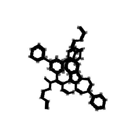 C=C/C=C\CC(C)/C(=C(\C=C/C)n1c2c(c3cc(C(=C)/C=C\C=C/C)ccc31)CC=C(c1ccccc1)C=C2)c1nc(C2=CCCC=C2)nc(-c2ccccc2)n1